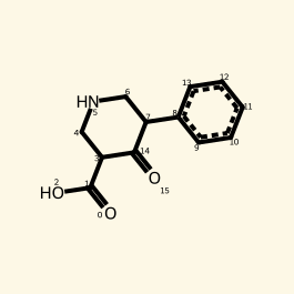 O=C(O)C1CNCC(c2ccccc2)C1=O